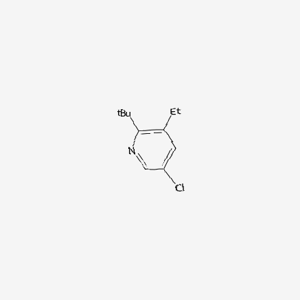 CCc1cc(Cl)cnc1C(C)(C)C